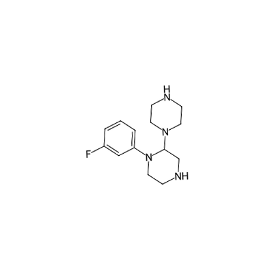 Fc1cccc(N2CCNCC2N2CCNCC2)c1